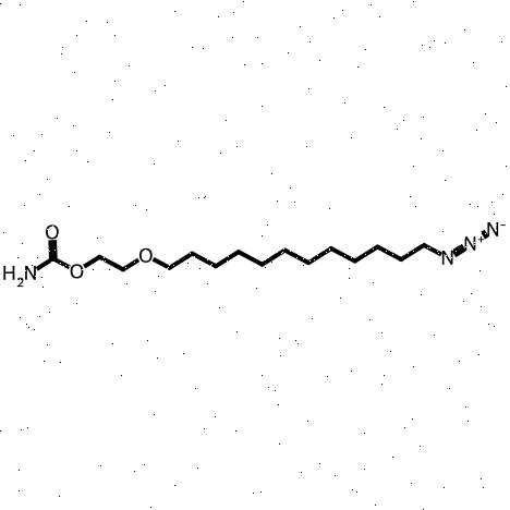 [N-]=[N+]=NCCCCCCCCCCCCOCCOC(N)=O